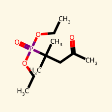 CCOP(=O)(OCC)C(C)(C)CC(C)=O